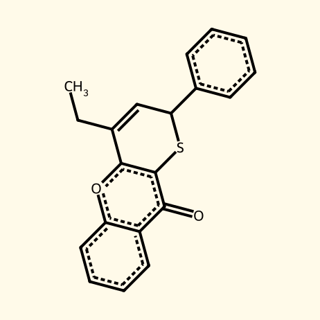 CCC1=CC(c2ccccc2)Sc2c1oc1ccccc1c2=O